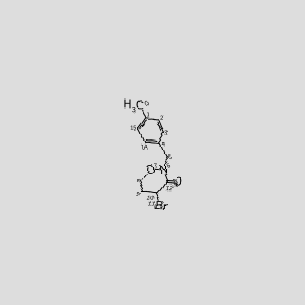 Cc1ccc(CN2OCCC(Br)C2=O)cc1